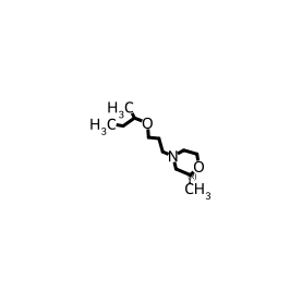 CCC(C)OCCCN1CCO[C@H](C)C1